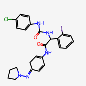 O=C(Nc1ccc(Cl)cc1)NC(C(=O)NC1=CCC(=NN2CCCC2)C=C1)c1ccccc1I